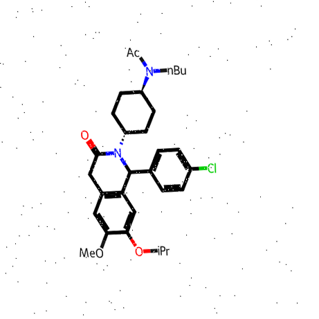 CCCCN(C(C)=O)[C@H]1CC[C@H](N2C(=O)Cc3cc(OC)c(OC(C)C)cc3C2c2ccc(Cl)cc2)CC1